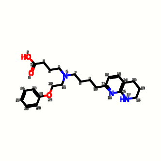 O=C(O)CCCN(CCCCc1ccc2c(n1)NCCC2)CCOc1ccccc1